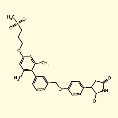 Cc1cc(OCCCS(C)(=O)=O)nc(C)c1-c1cccc(COc2ccc(C3CC(=O)N[S+]3[O-])cc2)c1